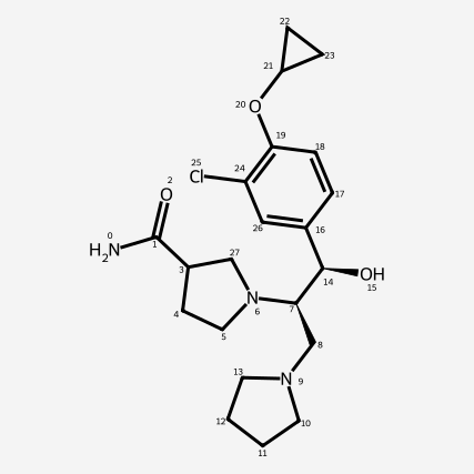 NC(=O)C1CCN([C@H](CN2CCCC2)[C@H](O)c2ccc(OC3CC3)c(Cl)c2)C1